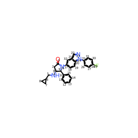 O=C1C[C@H](NCC2CC2)C(c2ccccc2)N1c1ccc2c(cnn2-c2ccc(F)cc2)c1